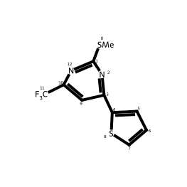 CSc1nc(-c2cccs2)cc(C(F)(F)F)n1